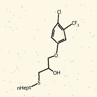 CCCCCCCSCC(O)COc1ccc(Cl)c(C(F)(F)F)c1